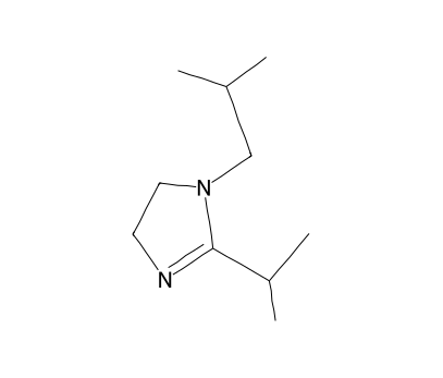 CC(C)CN1CCN=C1C(C)C